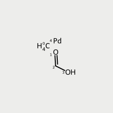 C.O=CO.[Pd]